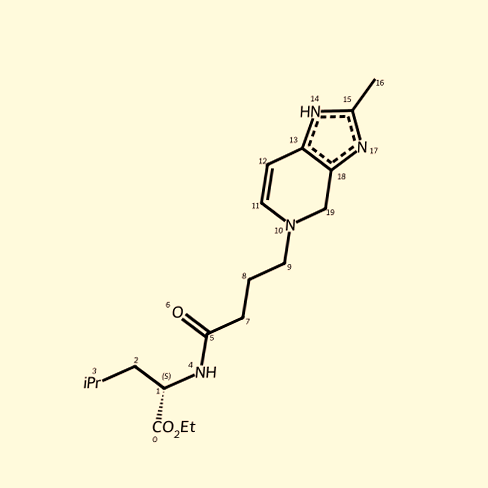 CCOC(=O)[C@H](CC(C)C)NC(=O)CCCN1C=Cc2[nH]c(C)nc2C1